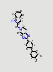 Cc1ccc(-c2ccc(-c3nc4ccn(Cc5cc6ccccc6[nH]5)cc-4n3)cc2)cc1C